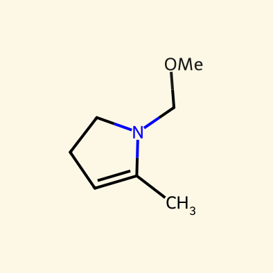 COCN1CCC=C1C